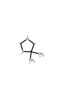 CC1(C)COCS1